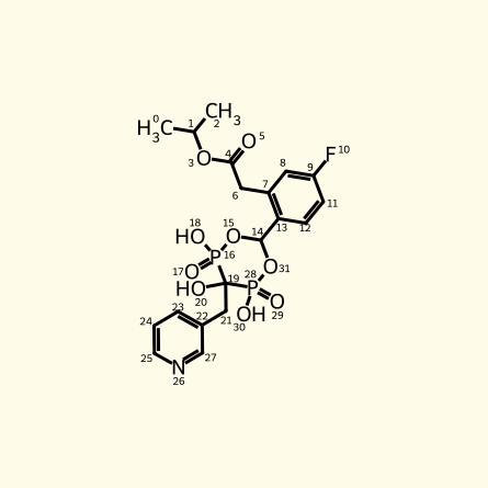 CC(C)OC(=O)Cc1cc(F)ccc1C1OP(=O)(O)C(O)(Cc2cccnc2)P(=O)(O)O1